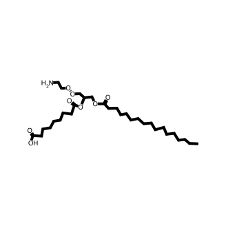 CCCCCCCCCCCCCCCCC(=O)OCC(COOCCN)OC(=O)CCCCCCCC(=O)O